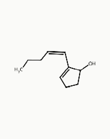 CCC/C=C\C1=CCCC1O